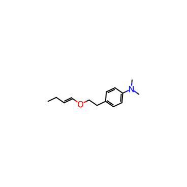 CCC=COCCc1ccc(N(C)C)cc1